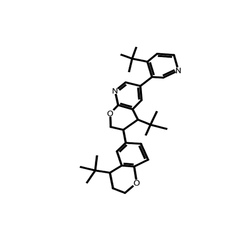 CC(C)(C)c1ccncc1-c1cnc2c(c1)C(C(C)(C)C)C(c1ccc3c(c1)C(C(C)(C)C)CCO3)CO2